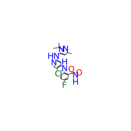 CONC(=O)c1cc(F)ccc1Nc1cc(Nc2cc(C)nn2C(C)C)ncc1Cl